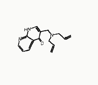 C=CCN(CC=C)Cc1c[nH]c2ncccc2c1=O